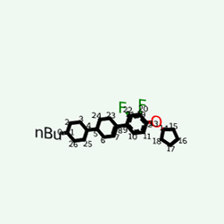 CCCCC1CCC(C2CC=C(c3ccc(OC4CCCC4)c(F)c3F)CC2)CC1